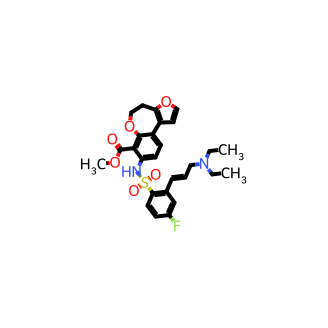 CCN(CC)CC=Cc1cc(F)ccc1S(=O)(=O)Nc1ccc2c(c1C(=O)OC)OCCc1occc1-2